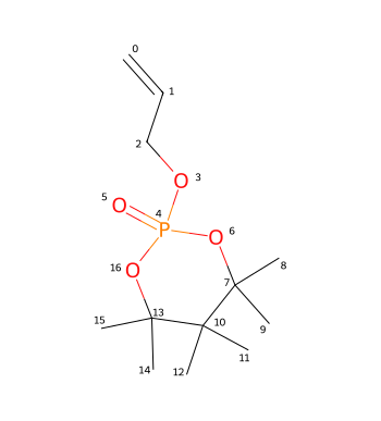 C=CCOP1(=O)OC(C)(C)C(C)(C)C(C)(C)O1